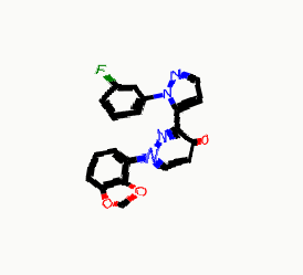 O=c1ccn(-c2cccc3c2OCO3)nc1-c1ccnn1-c1cccc(F)c1